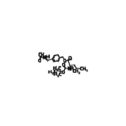 CC(=O)N[CH]c1ccc(COC(=O)[C@H](CC(C)C)NC(=O)OC(C)(C)C)cc1